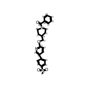 CS(=O)(=O)c1ccc(-c2ccc(OCC3CCN(C(=O)c4ccccc4)CC3)nc2)cc1